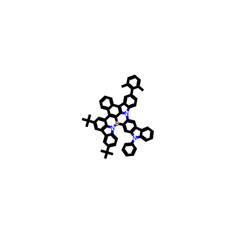 Cc1cccc(C)c1-c1ccc2c(c1)c1c3ccccc3c3c4c1n2-c1cc2c5ccccc5n(-c5ccccc5)c2cc1B4n1c2ccc(C(C)(C)C)cc2c2cc(C(C)(C)C)cc-3c21